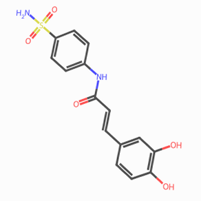 NS(=O)(=O)c1ccc(NC(=O)C=Cc2ccc(O)c(O)c2)cc1